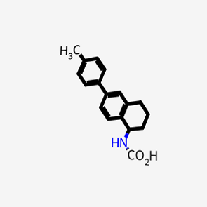 Cc1ccc(-c2ccc3c(c2)CCCC3NC(=O)O)cc1